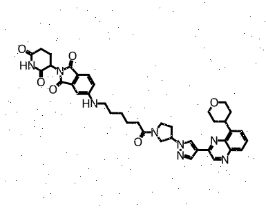 O=C1CCC(N2C(=O)c3ccc(NCCCCCC(=O)N4CCC(n5cc(-c6cnc7cccc(C8CCOCC8)c7n6)cn5)C4)cc3C2=O)C(=O)N1